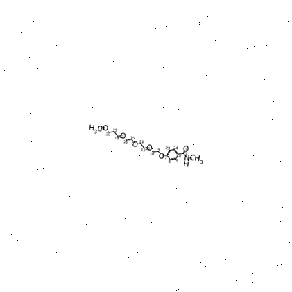 CNC(=O)c1ccc(OCCOCCOCCOCCCOC)cc1